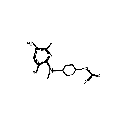 Cc1nc(N(C)C2CCC(OC(F)F)CC2)c(Br)cc1N